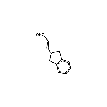 O=CC=CN1Cc2ccccc2C1